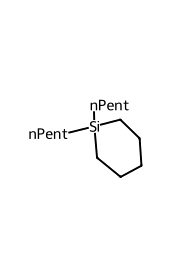 CCCCC[Si]1(CCCCC)CCCCC1